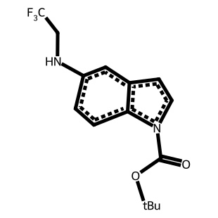 CC(C)(C)OC(=O)n1ccc2cc(NCC(F)(F)F)ccc21